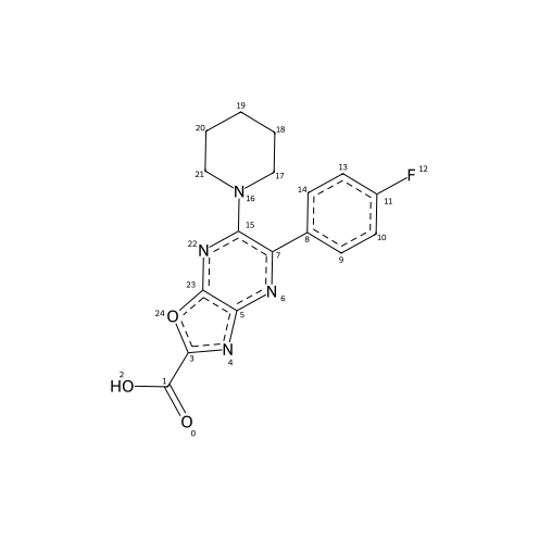 O=C(O)c1nc2nc(-c3ccc(F)cc3)c(N3CCCCC3)nc2o1